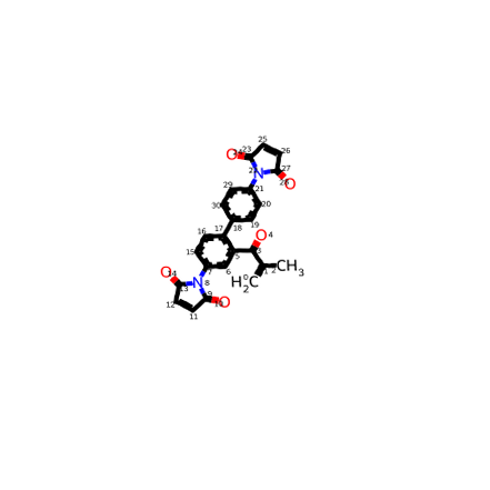 C=C(C)C(=O)c1cc(N2C(=O)C=CC2=O)ccc1-c1ccc(N2C(=O)C=CC2=O)cc1